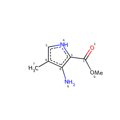 COC(=O)c1[nH]cc(C)c1N